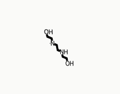 OCC[N]CCNCCO